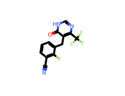 N#Cc1cccc(Cc2c(C(F)(F)F)nc[nH]c2=O)c1F